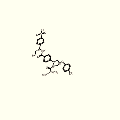 CCS(=O)(=O)c1ccc([C@H](CO)NC(=O)c2ccc(N3C[C@H](Oc4ccc(C(F)(F)F)cc4)C[C@H]3C(=O)N(C)OC)cc2)cc1